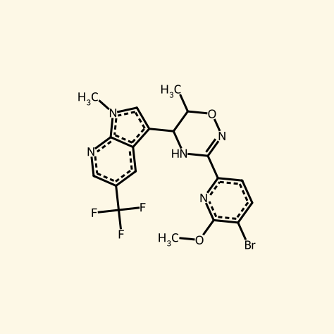 COc1nc(C2=NOC(C)C(c3cn(C)c4ncc(C(F)(F)F)cc34)N2)ccc1Br